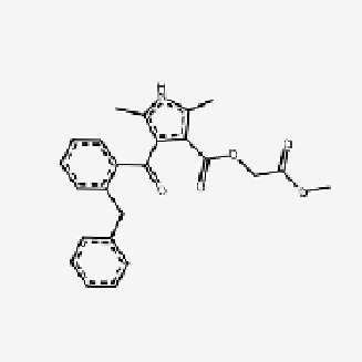 COC(=O)COC(=O)c1c(C)[nH]c(C)c1C(=O)c1ccccc1Cc1ccccc1